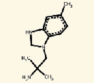 Cc1ccc2c(c1)N[CH]N2CC(C)(C)N